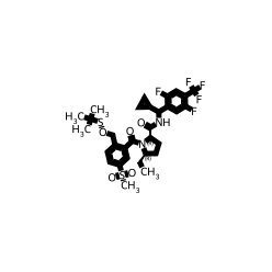 CC[C@@H]1CC[C@H](C(=O)NC(c2cc(F)c(C(F)(F)F)cc2F)C2CC2)N1C(=O)c1cc(S(C)(=O)=O)ccc1COSC(C)(C)C